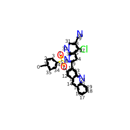 Cc1ccc(S(=O)(=O)n2c(-c3ccc4cc5ccccc5nc4c3)cc3c(Cl)c(C#N)cnc32)cc1